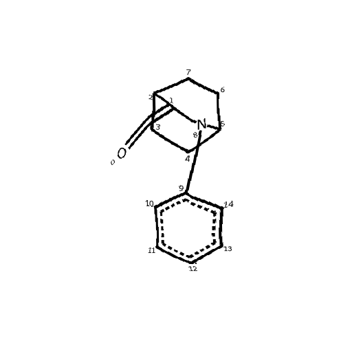 O=C1C2CCC(CC2)N1c1cc[c]cc1